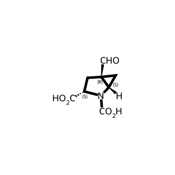 O=C[C@@]12C[C@@H]1N(C(=O)O)[C@H](C(=O)O)C2